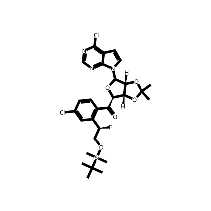 CC1(C)O[C@@H]2[C@@H](C(=O)c3ccc(Cl)cc3[C@@H](F)CO[Si](C)(C)C(C)(C)C)OC(n3ccc4c(Cl)ncnc43)[C@@H]2O1